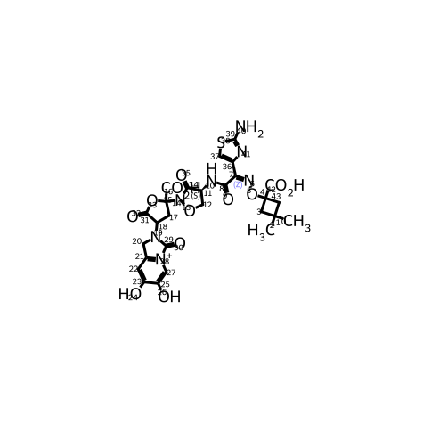 CC1(C)CC(O/N=C(\C(=O)N[C@H]2CON(C3(C(=O)O)CC(N4Cc5cc(O)c(O)c[n+]5C4=O)C(=O)O3)C2=O)c2csc(N)n2)(C(=O)O)C1